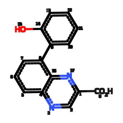 O=C(O)c1cnc2cccc(-c3ccccc3O)c2n1